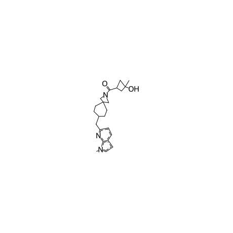 Cn1ccc2ccc(CC3CCC4(CC3)CN(C(=O)C3CC(C)(O)C3)C4)nc21